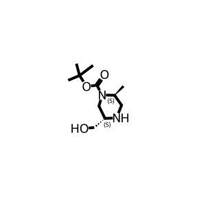 C[C@H]1CN[C@H](CO)CN1C(=O)OC(C)(C)C